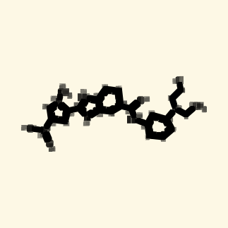 CCN(CCCl)c1cccc(NC(=O)c2ccc3[nH]c(-c4cc([N+](=O)[O-])cn4C)nc3c2)c1